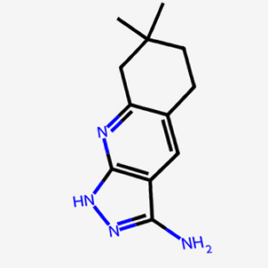 CC1(C)CCc2cc3c(N)n[nH]c3nc2C1